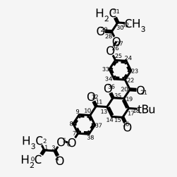 C=C(C)C(=O)OOc1ccc(C(=O)C2=CC(=O)C(C(C)(C)C)=C(C(=O)c3ccc(OOC(=O)C(=C)C)cc3)C2=O)cc1